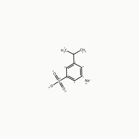 CC(C)c1cccc(S(=O)(=O)[O-])c1.[Na+]